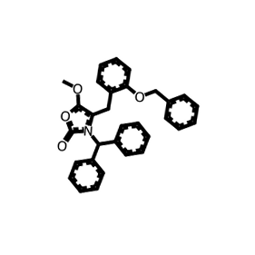 COc1oc(=O)n(C(c2ccccc2)c2ccccc2)c1Cc1ccccc1OCc1ccccc1